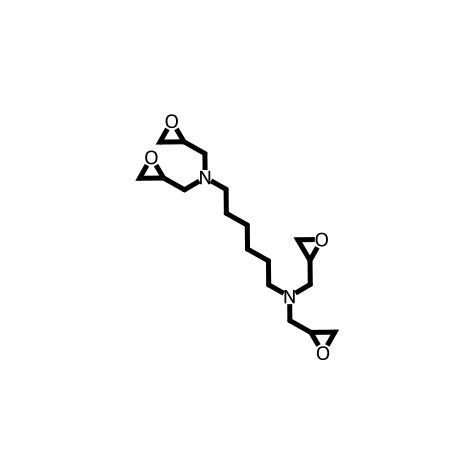 C(CCCN(CC1CO1)CC1CO1)CCN(CC1CO1)CC1CO1